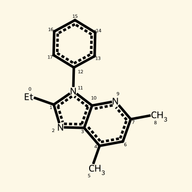 CCc1nc2c(C)cc(C)nc2n1-c1c[c]ccc1